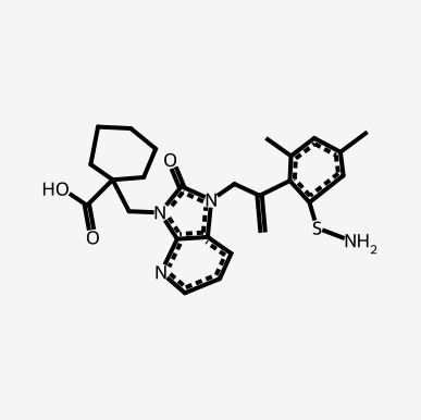 C=C(Cn1c(=O)n(CC2(C(=O)O)CCCCC2)c2ncccc21)c1c(C)cc(C)cc1SN